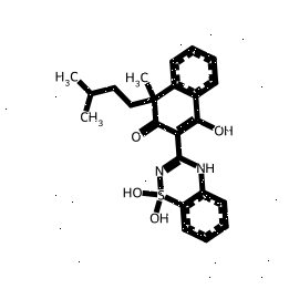 CC(C)CCC1(C)C(=O)C(C2=NS(O)(O)c3ccccc3N2)=C(O)c2ccccc21